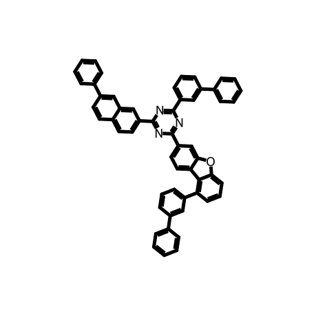 c1ccc(-c2cccc(-c3nc(-c4ccc5ccc(-c6ccccc6)cc5c4)nc(-c4ccc5c(c4)oc4cccc(-c6cccc(-c7ccccc7)c6)c45)n3)c2)cc1